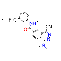 CN(C)c1nnc(C#N)c2cc(C(=O)Nc3cccc(C(F)(F)F)c3)ccc12